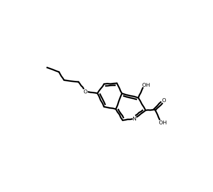 CCCCOc1ccc2c(O)c(C(=O)O)ncc2c1